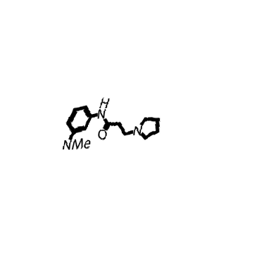 CNc1cccc(NC(=O)CCN2CCCC2)c1